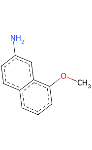 COc1cccc2ccc(N)cc12